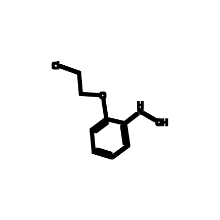 ONc1ccccc1OCCCl